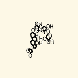 C[C@H]1O[C@@H](OC2[C@@H](O)C[C@H](O[C@H]3CC[C@]4(C)C5CC[C@]6(C)[C@@H](C7=CC(=O)OC7)CC[C@]6(O)C5CC[C@@H]4C3)O[C@@H]2C)C[C@H](O)C1O[C@H]1C[C@H](O)[C@H](O)[C@@H](C)O1